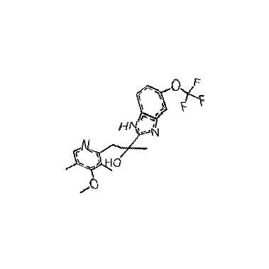 COc1c(C)cnc(CC(C)(O)c2nc3cc(OC(F)(F)F)ccc3[nH]2)c1C